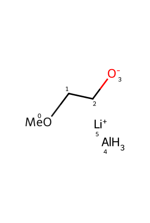 COCC[O-].[AlH3].[Li+]